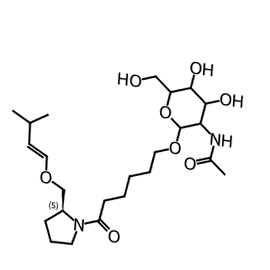 CC(=O)NC1C(OCCCCCC(=O)N2CCC[C@H]2COC=CC(C)C)OC(CO)C(O)C1O